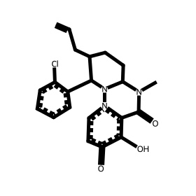 C=CCC1CCC2N(C)C(=O)c3c(O)c(=O)ccn3N2C1c1ccccc1Cl